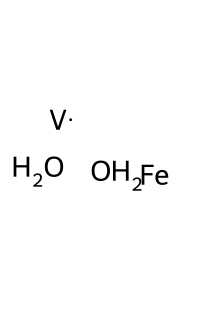 O.O.[Fe].[V]